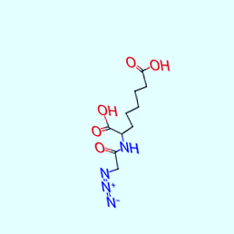 [N-]=[N+]=NCC(=O)NC(CCCCCC(=O)O)C(=O)O